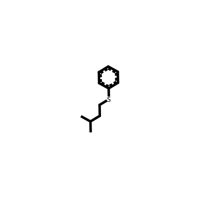 CC(C)CCSc1ccccc1